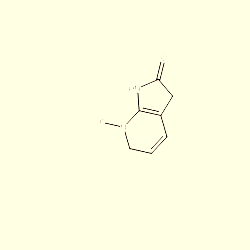 O=C1CC2=C(N1)N(F)CC=C2